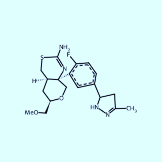 COC[C@H]1C[C@H]2CSC(N)=N[C@@]2(c2cc(C3CC(C)=NN3)ccc2F)CO1